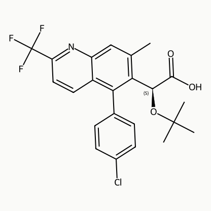 Cc1cc2nc(C(F)(F)F)ccc2c(-c2ccc(Cl)cc2)c1[C@H](OC(C)(C)C)C(=O)O